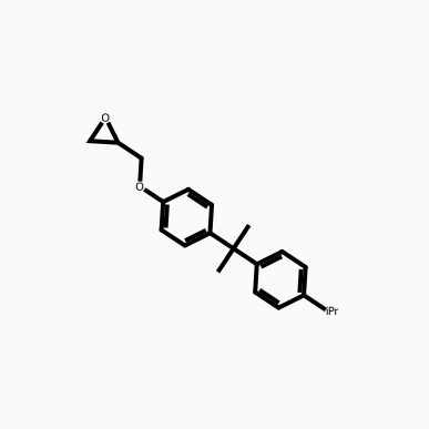 CC(C)c1ccc(C(C)(C)c2ccc(OCC3CO3)cc2)cc1